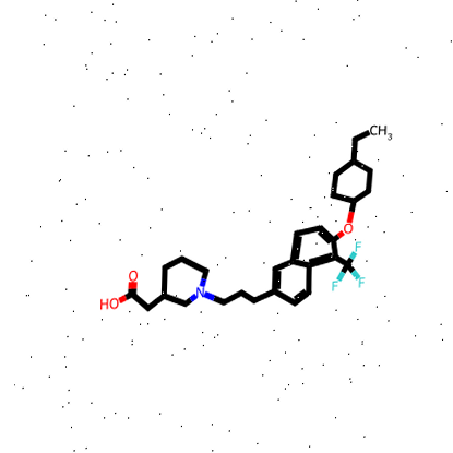 CCC1CCC(Oc2ccc3cc(CCCN4CCCC(CC(=O)O)C4)ccc3c2C(F)(F)F)CC1